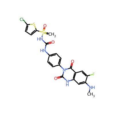 C=S(=O)(NC(=O)Nc1ccc(-n2c(=O)[nH]c3cc(NC)c(F)cc3c2=O)cc1)c1ccc(Cl)s1